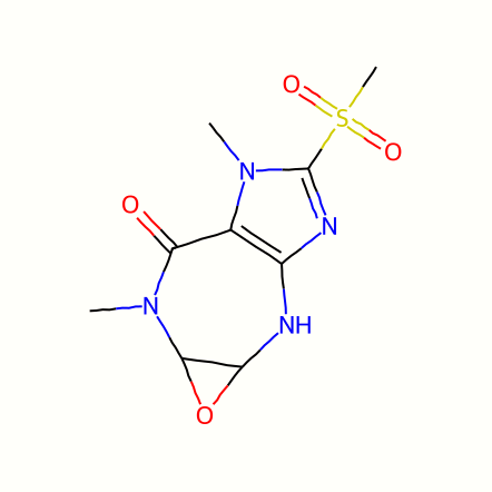 CN1C(=O)c2c(nc(S(C)(=O)=O)n2C)NC2OC21